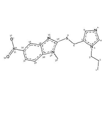 CCCn1cncc1CSc1nc2cc([N+](=O)[O-])ccc2n1C